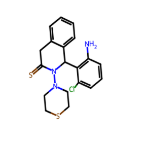 Nc1cccc(Cl)c1C1c2ccccc2CC(=S)N1N1CCSCC1